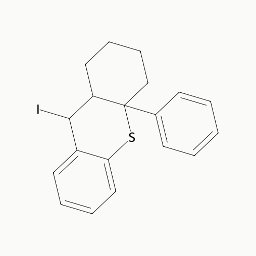 IC1c2ccccc2SC2(c3ccccc3)CCCCC12